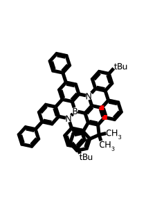 CC(C)(C)c1ccc(N2B3c4c(cc(-c5ccccc5)cc4N(c4ccc(C(C)(C)C)cc4-c4ccccc4)c4ccc5c(c43)-c3ccccc3C5(C)C)-c3ccc(-c4ccccc4)cc32)cc1